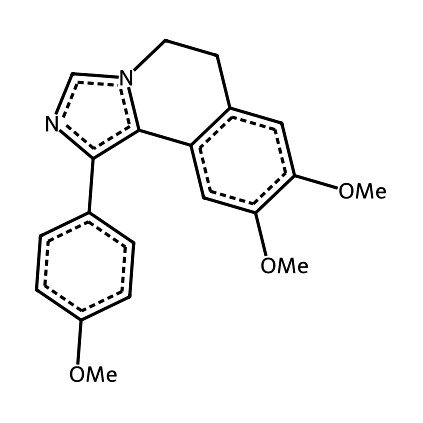 COc1ccc(-c2ncn3c2-c2cc(OC)c(OC)cc2CC3)cc1